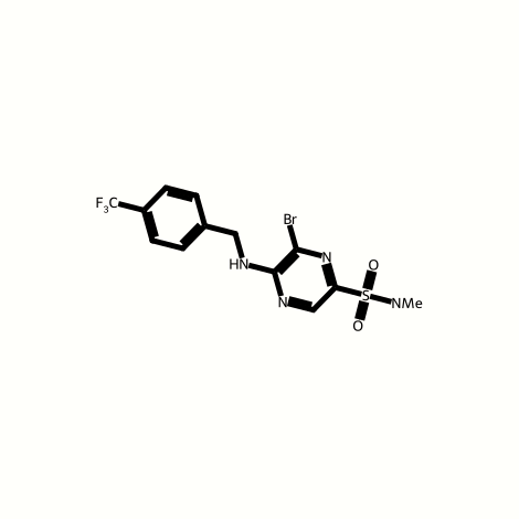 CNS(=O)(=O)c1cnc(NCc2ccc(C(F)(F)F)cc2)c(Br)n1